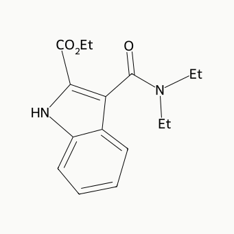 CCOC(=O)c1[nH]c2ccccc2c1C(=O)N(CC)CC